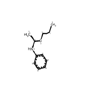 CCCOC(C)Nc1[c]cccc1